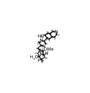 CO[C@@H]1/C(=C\c2ncc(-c3cc4ccncc4cc3O)nn2)C[C@@]2(C)N[C@@H]1CC2(F)F